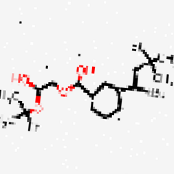 CCC(C)(C)CC(C1CCCC(C(O)OCC(O)OC(C)(C)CC)C1)C(C)(C)C